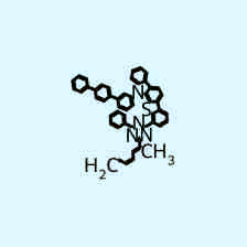 C=C/C=C\C=C(/C)c1nc(-c2ccccc2)nc(-c2cccc3c2sc2c3ccc3c4ccccc4n(-c4cccc(-c5ccc(-c6ccccc6)cc5)c4)c32)n1